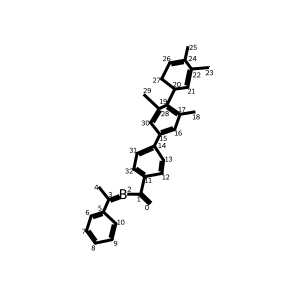 C=C(/B=C(\C)c1ccccc1)c1ccc(-c2cc(C)c(C3C=C(C)C(C)=CC3)c(C)c2)cc1